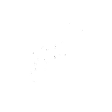 O=C(OC(=O)C(F)(F)F)c1ccc(Nc2ncc(Cl)c(Nc3ccc(F)cc3)n2)cc1